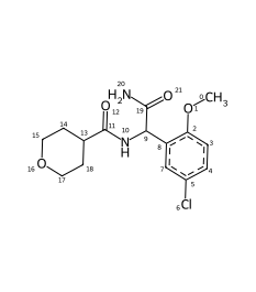 COc1ccc(Cl)cc1C(NC(=O)C1CCOCC1)C(N)=O